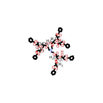 CC1(COOCC(C)(CO[C@@H](O)C2(C)COC(c3ccccc3)OC2)C(=O)OCCN(CCOC(=O)C(C)(COC(=O)C2(C)COC(c3ccccc3)OC2)COC(=O)C2(C)COC(c3ccccc3)OC2)CCOC(=O)C(C)(COC(=O)C2(C)COC(c3ccccc3)OC2)COC(=O)C2(C)COC(c3ccccc3)OC2)COC(c2ccccc2)OC1